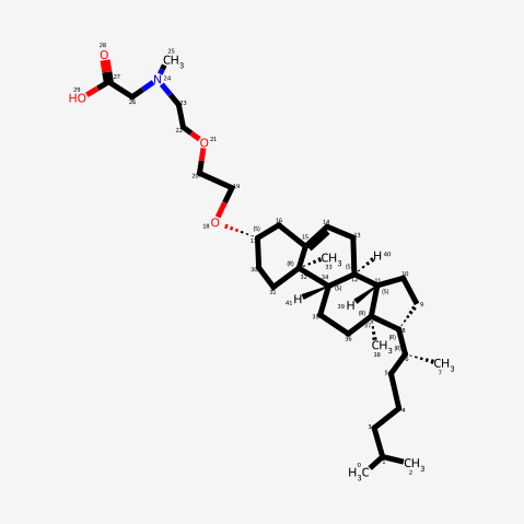 CC(C)CCC[C@@H](C)[C@H]1CC[C@H]2[C@@H]3CC=C4C[C@@H](OCCOCCN(C)CC(=O)O)CC[C@]4(C)[C@H]3CC[C@]12C